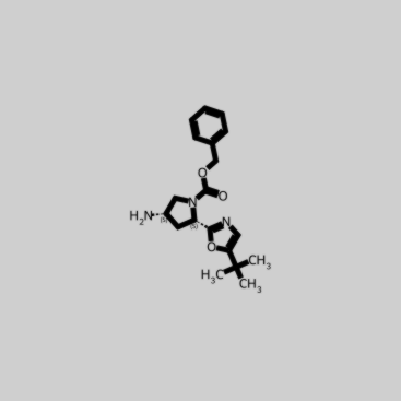 CC(C)(C)c1cnc([C@@H]2C[C@H](N)CN2C(=O)OCc2ccccc2)o1